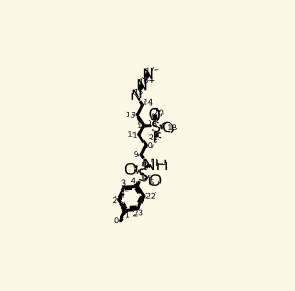 Cc1ccc(S(=O)(=O)NCCCC(CCN=[N+]=[N-])S(=O)(=O)F)cc1